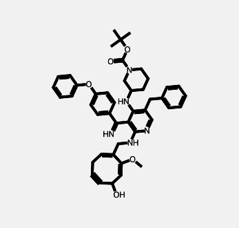 COC1=C/C(O)C#CC/C=C\1CNc1ncc(Cc2ccccc2)c(NC2CCCN(C(=O)OC(C)(C)C)C2)c1C(=N)c1ccc(Oc2ccccc2)cc1